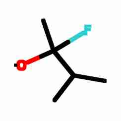 CC(C)C(C)([O])F